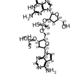 Nc1nc2c(ncn2[C@@H]2O[C@H](CO)C[C@H]2OP(=S)(S)OC[C@H]2O[C@@H](n3ccc4c(N)ncnc43)C[C@@H]2O[PH](O)=S)c(=O)[nH]1